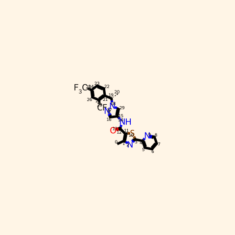 Cc1nc(-c2ccccn2)sc1C(=O)Nc1cnn([C@@H](C)c2ccc(C(F)(F)F)cc2C(F)(F)F)c1